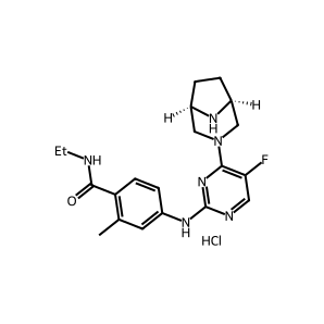 CCNC(=O)c1ccc(Nc2ncc(F)c(N3C[C@H]4CC[C@@H](C3)N4)n2)cc1C.Cl